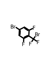 Fc1cc(Br)cc(F)c1C(F)(F)Br